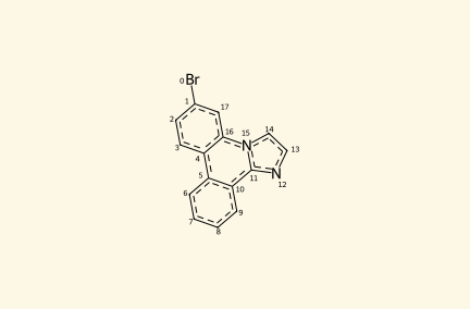 Brc1ccc2c3ccccc3c3nccn3c2c1